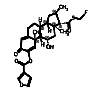 C[C@@H]1C[C@H]2[C@@H]3CCC4=CC(=O)C(OC(=O)c5ccoc5)=C[C@]4(C)[C@H]3[C@@H](O)C[C@]2(C)[C@H]1C(=O)SCF